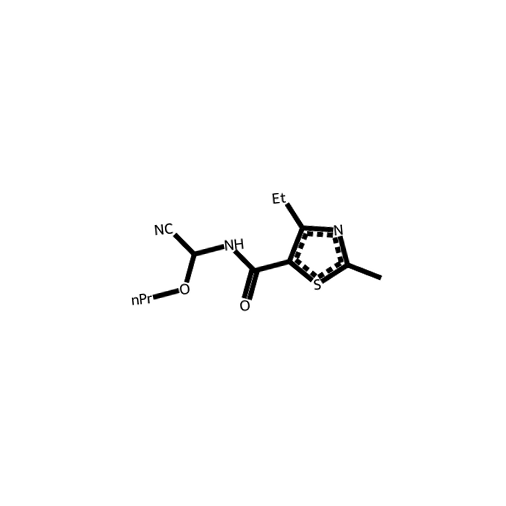 CCCOC(C#N)NC(=O)c1sc(C)nc1CC